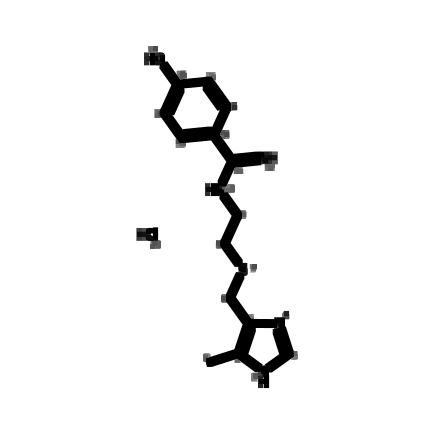 Cc1[nH]cnc1CSCCNC(=N)c1ccc(O)cc1.Cl